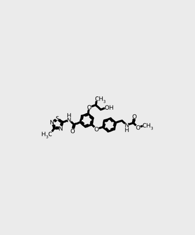 COC(=O)NCc1ccc(Oc2cc(OC(C)CO)cc(C(=O)Nc3nc(C)ns3)c2)cc1